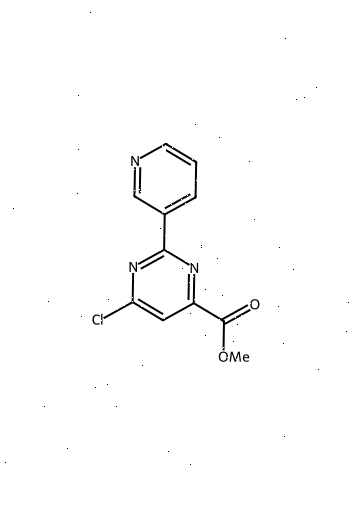 COC(=O)c1cc(Cl)nc(-c2cccnc2)n1